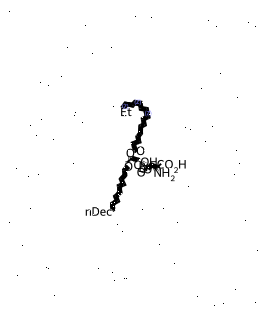 CC/C=C\C/C=C\C/C=C\CCCCCCCC(=O)O[C@H](COCCCCCCCCCCCCCCCCCCCC)COP(=O)(O)OC[C@H](N)C(=O)O